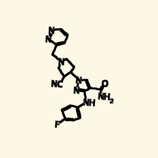 N#CC1CN(Cc2cccnn2)CCC1n1cc(C(N)=O)c(Nc2ccc(F)cc2)n1